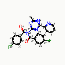 Cc1nc(-c2ccccn2)nc(N(C(=O)c2ccc(F)cc2)C(=O)c2ccc(F)cc2)n1